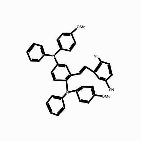 COc1ccc(N(c2ccccc2)c2ccc(N(c3ccccc3)c3ccc(OC)cc3)c(C=Cc3cc(C#N)ccc3C#N)c2)cc1